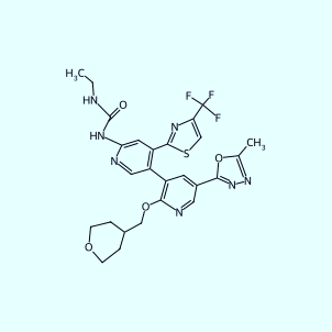 CCNC(=O)Nc1cc(-c2nc(C(F)(F)F)cs2)c(-c2cc(-c3nnc(C)o3)cnc2OCC2CCOCC2)cn1